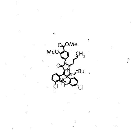 C=CCC[C@@H]1N(c2ccc(C(=O)OC)c(OC)c2)C(=O)C2=C(c3cccc(Cl)c3F)[C@@](C#N)(c3ccc(Cl)cc3F)[C@H](CC(C)(C)C)N21